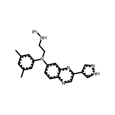 Cc1cc(C)cc(N(CCNC(C)C)c2ccc3ncc(-c4cn[nH]c4)nc3c2)c1